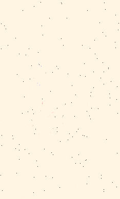 CC(C)=CC[C@H]1O[C@]1(C)[C@H]1[C@H](O)[C@H](OC(=O)N2CC3CC2CN3)CC[C@]12CO2